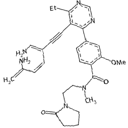 C=C(N)/C=C\C(C#Cc1c(CC)ncnc1-c1ccc(C(=O)N(C)CCN2CCCC2=O)c(OC)c1)=C/N